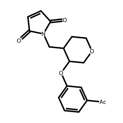 CC(=O)c1cccc(OC2COCCC2CN2C(=O)C=CC2=O)c1